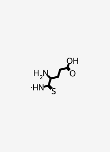 [NH]C(=S)C(N)CCC(=O)O